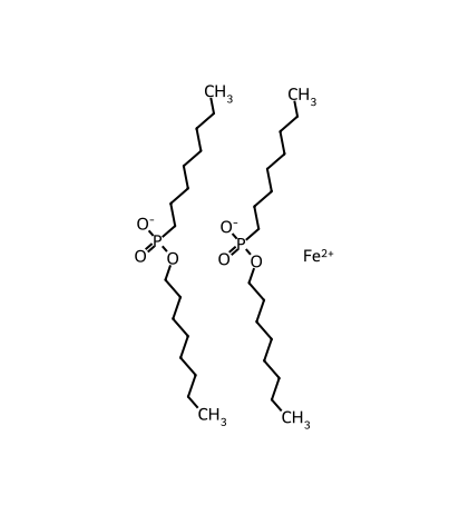 CCCCCCCCOP(=O)([O-])CCCCCCCC.CCCCCCCCOP(=O)([O-])CCCCCCCC.[Fe+2]